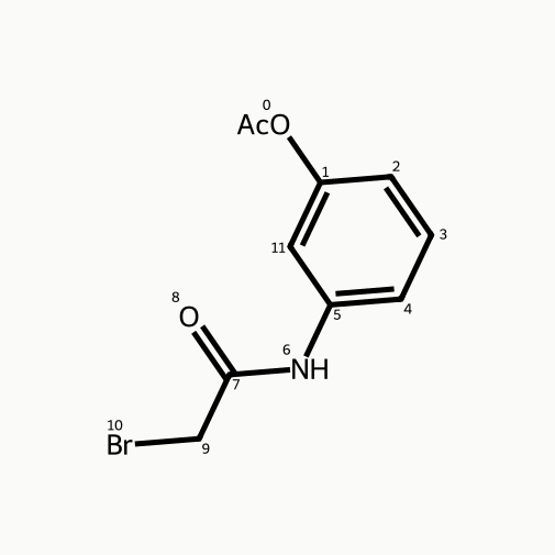 CC(=O)Oc1cccc(NC(=O)CBr)c1